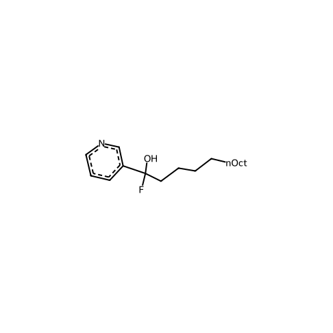 CCCCCCCCCCCCC(O)(F)c1cccnc1